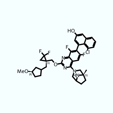 CO[C@@H]1CCC(C[C@@]2(COc3nc(N4CC5CC[C@@](C)(C4)N5)c4cc(F)c(-c5cc(O)cc6cccc(Cl)c56)c(F)c4n3)CC2(F)F)C1